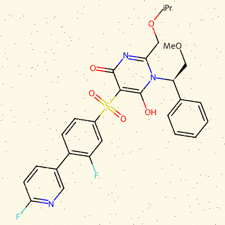 COC[C@@H](c1ccccc1)n1c(COC(C)C)nc(=O)c(S(=O)(=O)c2ccc(-c3ccc(F)nc3)c(F)c2)c1O